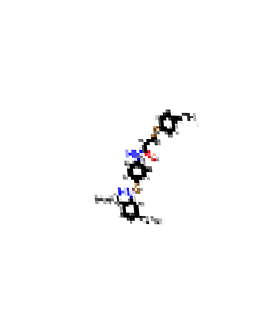 COc1ccc(OC)c(NSc2ccc(NC(=O)CCSc3ccc(C)cc3)cc2)c1